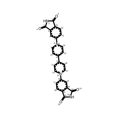 O=C1NC(=O)c2cc(-[n+]3ccc(-c4cc[n+](-c5ccc6c(c5)C(=O)NC6=O)cc4)cc3)ccc21